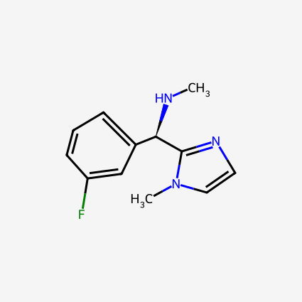 CN[C@H](c1cccc(F)c1)c1nccn1C